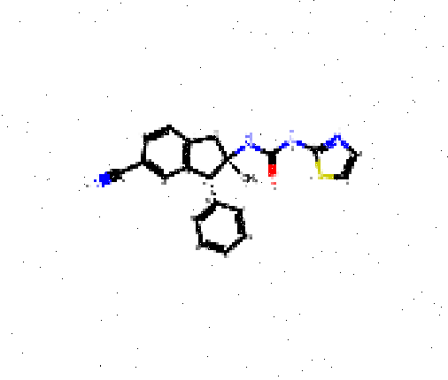 C[C@]1(NC(=O)Nc2nccs2)Cc2ccc(C#N)cc2[C@H]1c1ccccc1